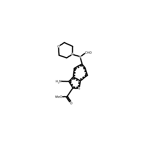 COC(=O)c1sc2ccc(N(C=O)N3CCOCC3)cc2c1N